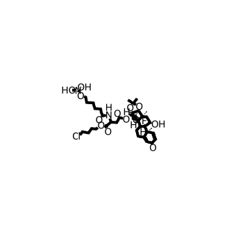 CC1(C)O[C@@H]2C[C@H]3[C@@H]4CCC5=CC(=O)C=C[C@]5(C)[C@@]4(F)[C@@H](O)C[C@]3(C)[C@]2(C(=O)COC(=O)CC(NC(=O)CCCCCON(O)O)C(=O)OCCCCCl)O1